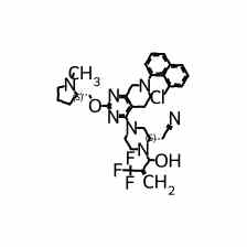 C=C(C(O)N1CCN(c2nc(OC[C@@H]3CCCN3C)nc3c2CCN(c2cccc4cccc(Cl)c24)C3)C[C@@H]1CC#N)C(F)(F)F